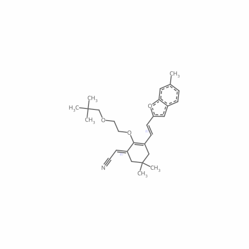 Cc1ccc2cc(/C=C/C3=C(OCCOCC(C)(C)C)C(=C/C#N)/CC(C)(C)C3)oc2c1